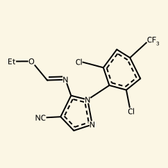 CCO/C=N/c1c(C#N)cnn1-c1c(Cl)cc(C(F)(F)F)cc1Cl